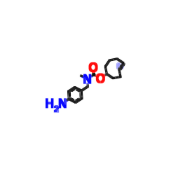 CN(Cc1ccc(N)cc1)C(=O)OC1CC/C=C/CCC1